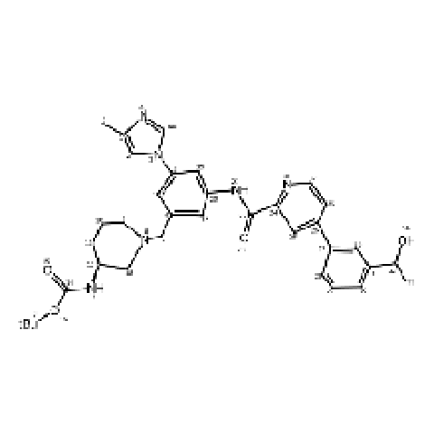 Cc1cn(-c2cc(CN3CCC[C@H](NC(=O)OC(C)(C)C)C3)cc(NC(=O)c3cc(-c4cccc(C(C)O)c4)ccn3)c2)cn1